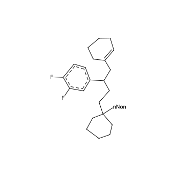 CCCCCCCCCC1(CCC(CC2=CCCCC2)c2ccc(F)c(F)c2)CCCCC1